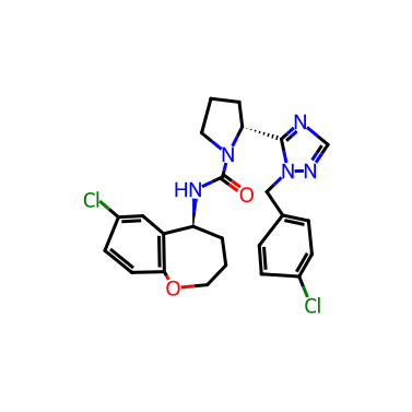 O=C(N[C@H]1CCCOc2ccc(Cl)cc21)N1CCC[C@@H]1c1ncnn1Cc1ccc(Cl)cc1